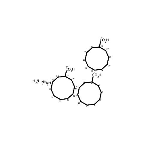 N.N.N.O=C(O)C1CCCCCCCCC1.O=C(O)C1CCCCCCCCC1.O=C(O)C1CCCCCCCCC1